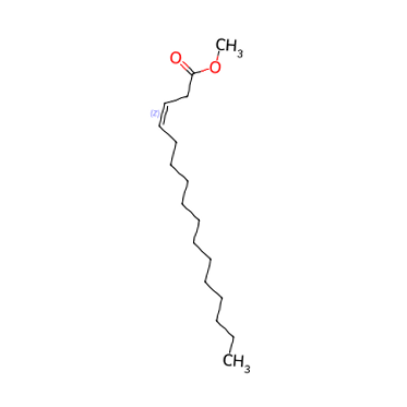 CCCCCCCCCCCC/C=C\CC(=O)OC